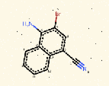 N#Cc1cc(Br)c(N)c2ccccc12